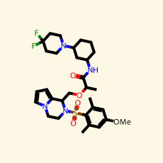 COc1cc(C)c(S(=O)(=O)N2CCn3cccc3C2COC(C)C(=O)NC2CCCC(N3CCC(F)(F)CC3)C2)c(C)c1